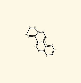 C1=CCc2ccc3c4c(ccc3c2=C1)CCCC=4